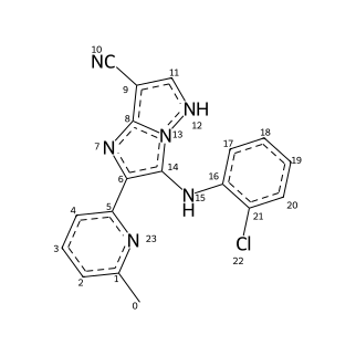 Cc1cccc(-c2nc3c(C#N)c[nH]n3c2Nc2ccccc2Cl)n1